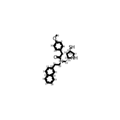 COc1ccc(CC(=O)N(CCc2ccc3ccccc3c2)C[C@@H]2C[C@H](S)CN2)cc1